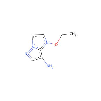 CCOn1ccn2ncc(N)c12